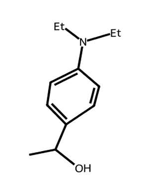 CCN(CC)c1ccc(C(C)O)cc1